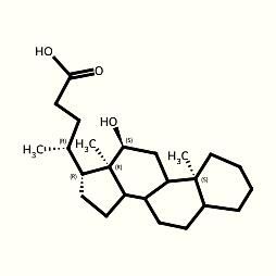 C[C@H](CCC(=O)O)[C@H]1CCC2C3CCC4CCCC[C@]4(C)C3C[C@H](O)[C@@]21C